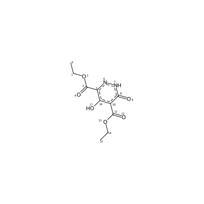 CCOC(=O)c1n[nH]c(=O)c(C(=O)OCC)c1O